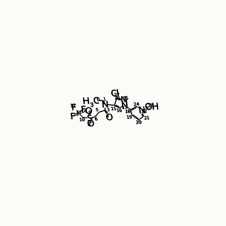 CCN(C(=O)CCS(=O)(=O)CC(F)(F)F)c1cn(-c2ccc[n+](O)c2)nc1Cl